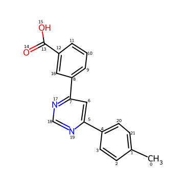 Cc1ccc(-c2cc(-c3cccc(C(=O)O)c3)ncn2)cc1